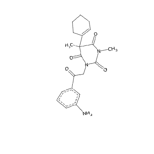 CN1C(=O)N(CC(=O)c2cccc(N)c2)C(=O)C(C)(C2=CCCCC2)C1=O